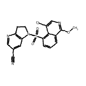 COc1ncc(Cl)c2c(S(=O)(=O)N3CCc4ncc(C#N)cc43)cccc12